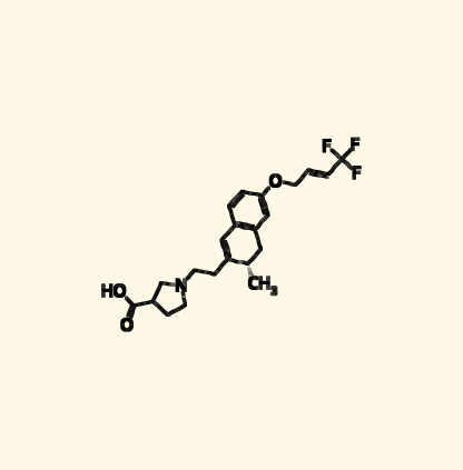 C[C@H]1Cc2cc(OC/C=C/C(F)(F)F)ccc2C=C1CCN1CCC(C(=O)O)C1